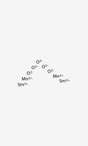 [Mn+2].[Mn+2].[O-2].[O-2].[O-2].[O-2].[O-2].[Sm+3].[Sm+3]